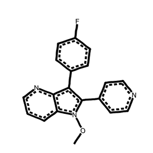 COn1c(-c2ccncc2)c(-c2ccc(F)cc2)c2ncccc21